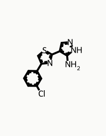 Nc1[nH]ncc1-c1nc(-c2cccc(Cl)c2)cs1